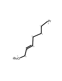 CC(C)CCC/C=C/COCC(C)C